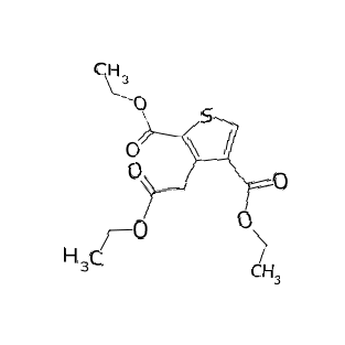 CCOC(=O)Cc1c(C(=O)OCC)csc1C(=O)OCC